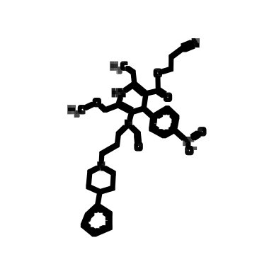 CCC1=C(C(=O)OCCC#N)C(c2ccc([N+](=O)[O-])cc2)C(N(C=O)CCCN2CCC(c3ccccc3)CC2)=C(COC)N1